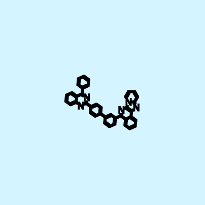 c1ccc(-c2nc(-c3ccc(-c4cccc(-c5nc6c(nc7ccccn76)c6ccccc56)c4)cc3)nc3ccccc23)cc1